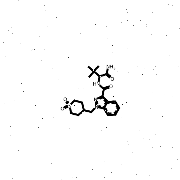 CC(C)(C)C(NC(=O)c1nn(CC2CCS(=O)(=O)CC2)c2ccccc12)C(N)=O